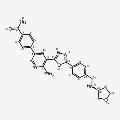 Nc1ncc(-c2ccc(C(=O)O)cc2)nc1-c1nnc(-c2ccc(CN[C@H]3CCOC3)cc2)o1